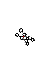 Oc1ccccc1-c1cc(-c2ccc(-c3ccccc3)cc2)c2c(-c3ccc(-c4ccccc4)cc3)oc3ccccc3c1-2